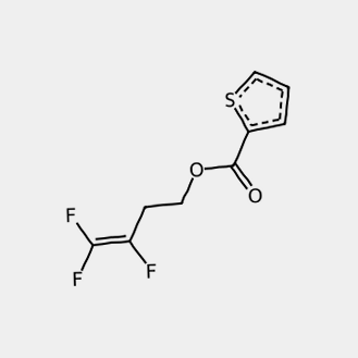 O=C(OCCC(F)=C(F)F)c1cccs1